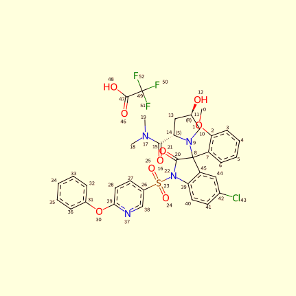 COc1ccccc1C1(N2C[C@H](O)C[C@H]2C(=O)N(C)C)C(=O)N(S(=O)(=O)c2ccc(Oc3ccccc3)nc2)c2ccc(Cl)cc21.O=C(O)C(F)(F)F